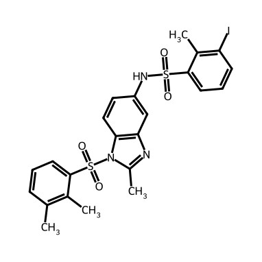 Cc1cccc(S(=O)(=O)n2c(C)nc3cc(NS(=O)(=O)c4cccc(I)c4C)ccc32)c1C